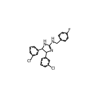 Fc1ccc(CNC2=NC(c3cccc(Cl)c3)C(c3cccc(Cl)c3)N2)cc1